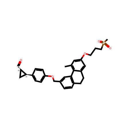 Cc1cc(OCCCS(C)(=O)=O)cc2c1-c1cc(COc3ccc([C@H]4C[C@@H]4[C]=O)cc3)ccc1CC2